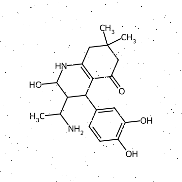 CC(N)C1C(O)NC2=C(C(=O)CC(C)(C)C2)C1c1ccc(O)c(O)c1